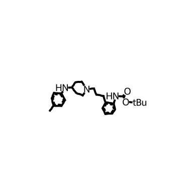 Cc1ccc(NC2CCN(CCCc3ccccc3NC(=O)OC(C)(C)C)CC2)cc1